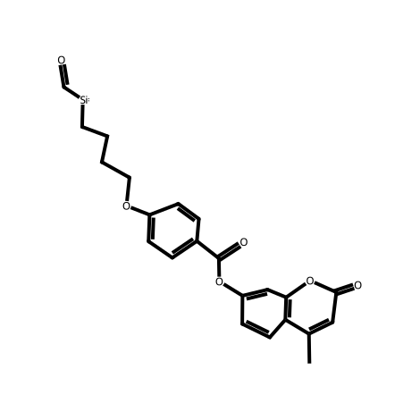 Cc1cc(=O)oc2cc(OC(=O)c3ccc(OCCCC[Si]C=O)cc3)ccc12